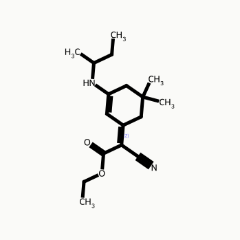 CCOC(=O)/C(C#N)=C1\C=C(NC(C)CC)CC(C)(C)C1